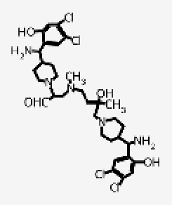 CN(CCC(C)(O)CN1CCC(C(N)c2cc(Cl)c(Cl)cc2O)CC1)CC(C=O)N1CCC(C(N)c2cc(Cl)c(Cl)cc2O)CC1